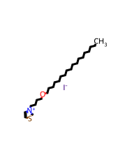 CCCCCCCCCCCCCCCCCCOCCCC[n+]1ccsc1.[I-]